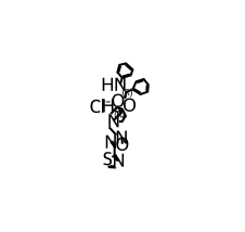 O=C(O[C@H]1C[N+]2(Cc3noc(-c4nccs4)n3)CCC1CC2)[C@H](Nc1ccccc1)c1ccccc1.[Cl-]